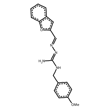 COc1ccc(CN/C(N)=N/N=C/c2cc3ccccc3o2)cc1